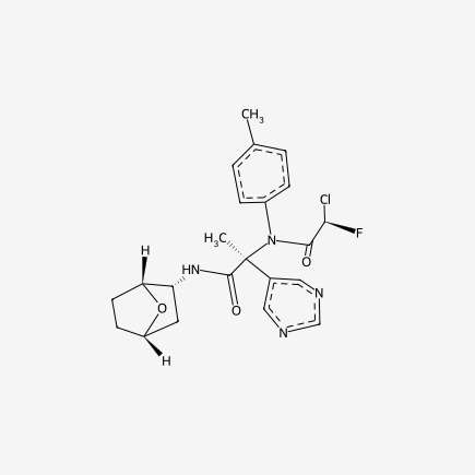 Cc1ccc(N(C(=O)[C@H](F)Cl)[C@](C)(C(=O)N[C@@H]2C[C@@H]3CC[C@H]2O3)c2cncnc2)cc1